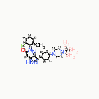 BC(B)(B)N1CCN(c2ccc(-c3n[nH]c4cc(=O)n(-c5c(C)cccc5F)nc34)cc2)CC1